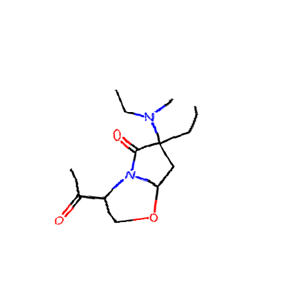 CCN(C)C1(CC)CC2OCC(C(C)=O)N2C1=O